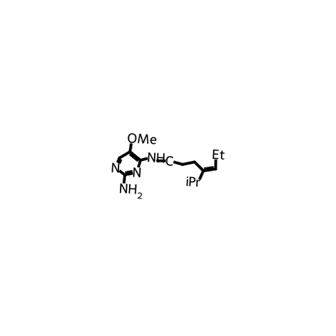 CC/C=C(\CCCCNc1nc(N)ncc1OC)C(C)C